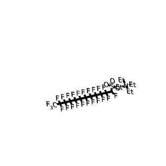 CC[N+](CC)(CC)CC.O=S(=O)([O-])C(F)C(F)(F)C(F)(F)C(F)(F)C(F)(F)C(F)(F)C(F)(F)C(F)(F)C(F)(F)C(F)(F)C(F)(F)C(F)(F)F